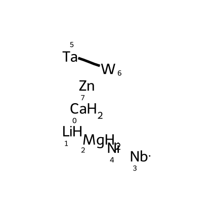 [CaH2].[LiH].[MgH2].[Nb].[Ni].[Ta][W].[Zn]